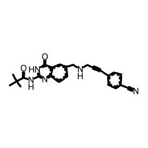 CC(C)(C)C(=O)Nc1nc2ccc(CNCC#Cc3ccc(C#N)cc3)cc2c(=O)[nH]1